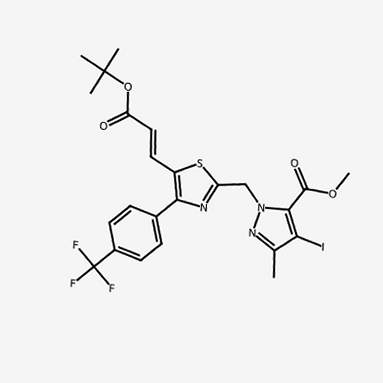 COC(=O)c1c(I)c(C)nn1Cc1nc(-c2ccc(C(F)(F)F)cc2)c(C=CC(=O)OC(C)(C)C)s1